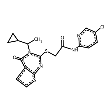 CC(C1CC1)n1c(SCC(=O)Nc2ccc(Cl)cn2)nc2sccc2c1=O